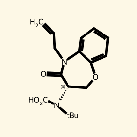 C=CCN1C(=O)[C@@H](N(C(=O)O)C(C)(C)C)COc2ccccc21